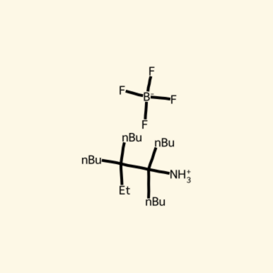 CCCCC([NH3+])(CCCC)C(CC)(CCCC)CCCC.F[B-](F)(F)F